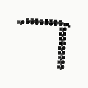 O.O.O.O.O.O.O.O.O.O.O.O.O.O.O.O.O.O.O